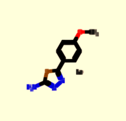 COc1ccc(-c2nnc(N)s2)cc1.[La]